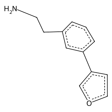 NCCc1cccc(-c2ccoc2)c1